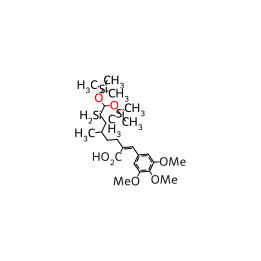 COc1cc(C=C(CCC(C)C[SiH2]C(O[Si](C)(C)C)O[Si](C)(C)C)C(=O)O)cc(OC)c1OC